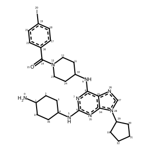 NC1CCC(Nc2nc(NC3CCN(C(=O)c4ccc(I)cc4)CC3)c3ncn(C4CCCC4)c3n2)CC1